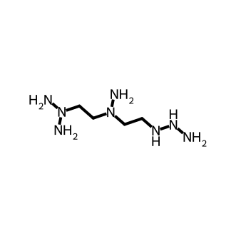 NNNCCN(N)CCN(N)N